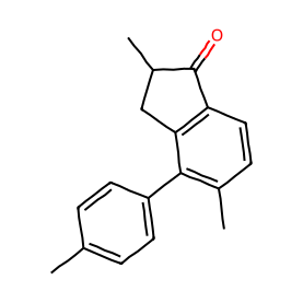 Cc1ccc(-c2c(C)ccc3c2CC(C)C3=O)cc1